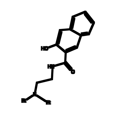 CCN(CC)CCNC(=O)c1cc2ccccc2cc1O